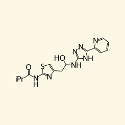 CC(C)C(=O)Nc1nc(CC(O)Nc2nnc(-c3ccccn3)[nH]2)cs1